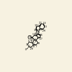 C[C@H]1CC[C@@]2(C)C(=CCC3C2C(=O)C[C@]2(C)C(n4ccc5ccccc54)=CCC32)C1